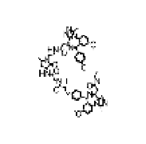 CCNC(=O)C[C@@H]1N=C(c2ccc(NCC(=O)NCC(=O)NC3CC(C)N(CCNC(=O)C[C@@H]4N=C(c5ccc(Cl)cc5)c5cc(OC)ccc5-n5c(C)nnc54)C3=O)cc2)c2cc(OC)ccc2-n2c(C)nnc21